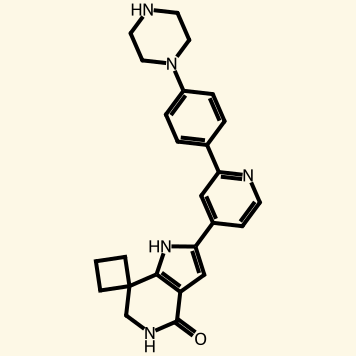 O=C1NCC2(CCC2)c2[nH]c(-c3ccnc(-c4ccc(N5CCNCC5)cc4)c3)cc21